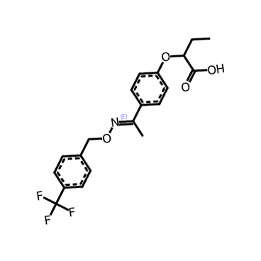 CCC(Oc1ccc(/C(C)=N/OCc2ccc(C(F)(F)F)cc2)cc1)C(=O)O